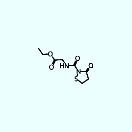 CCOC(=O)CNC(=O)N1SCCC1=O